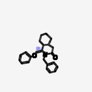 O=C1CC2CCCCC2/C(=C/Oc2ccccc2)N1Cc1ccccc1